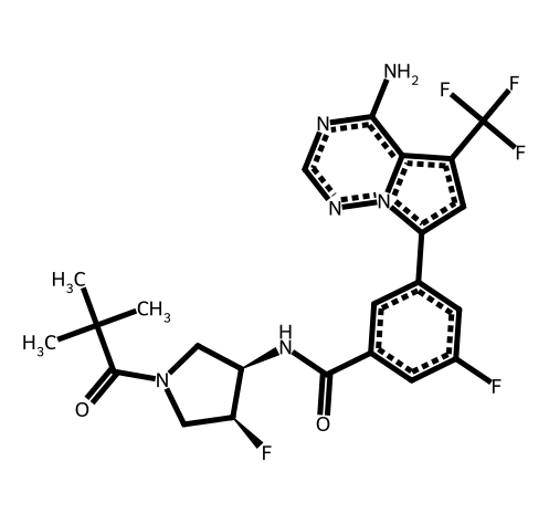 CC(C)(C)C(=O)N1C[C@H](F)[C@H](NC(=O)c2cc(F)cc(-c3cc(C(F)(F)F)c4c(N)ncnn34)c2)C1